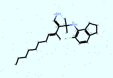 CCCCCCC/C=C(C)/C(=C/N)C(C)(C)Nc1c(F)ccc2c1CCC2